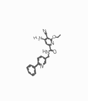 CCOc1nc(C(=O)NCc2ccc(-c3ccccc3)nc2)cc(N)c1C#N